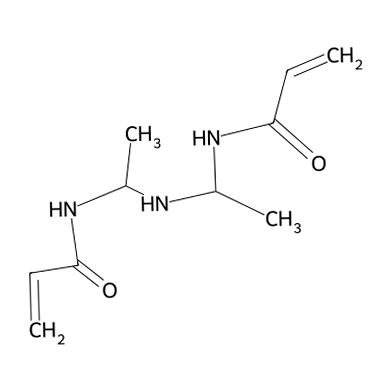 C=CC(=O)NC(C)NC(C)NC(=O)C=C